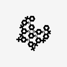 CC(C)(C)c1ccc(N(c2ccc(C(C)(C)C)cc2)c2cc3c4c(c2)N(c2cc(C(C)(C)C)cc(C(C)(C)C)c2)c2cc(N5c6ccccc6C(C)(C)c6ccccc65)ccc2B4c2ccc(N4c5ccccc5C(C)(C)c5ccccc54)cc2N3c2cc(C(C)(C)C)cc(C(C)(C)C)c2)cc1